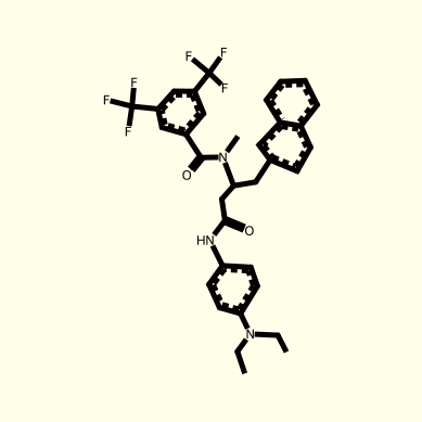 CCN(CC)c1ccc(NC(=O)CC(Cc2ccc3ccccc3c2)N(C)C(=O)c2cc(C(F)(F)F)cc(C(F)(F)F)c2)cc1